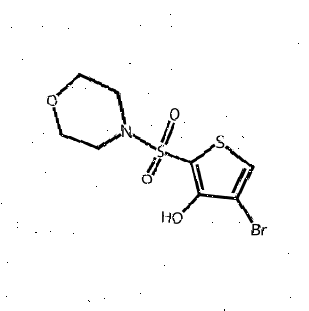 O=S(=O)(c1scc(Br)c1O)N1CCOCC1